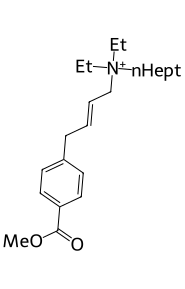 CCCCCCC[N+](CC)(CC)CC=CCc1ccc(C(=O)OC)cc1